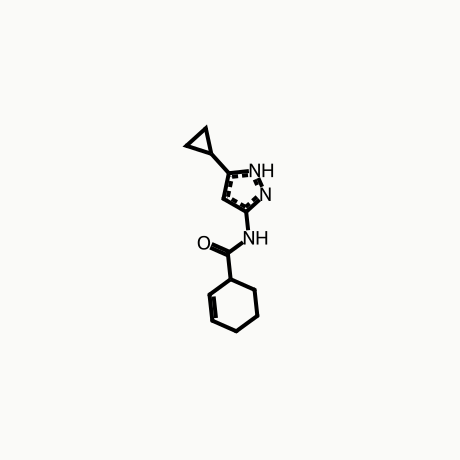 O=C(Nc1cc(C2CC2)[nH]n1)C1C=CCCC1